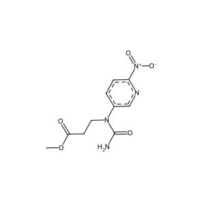 COC(=O)CCN(C(N)=O)c1ccc([N+](=O)[O-])nc1